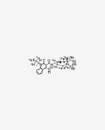 [2H]C(N([2H])C(=O)c1c(O)c2ccsc2n(C([2H])(C)C([2H])([2H])[2H])c1=O)C([2H])([2H])C([2H])N1C([2H])([2H])C([2H])([2H])C([2H])([2H])C([2H])([2H])C1([2H])[2H]